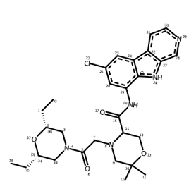 CC[C@@H]1CN(C(=O)CN2CC(C)(C)OCC2C(=O)Nc2cc(Cl)cc3c2[nH]c2cnccc23)C[C@H](CC)O1